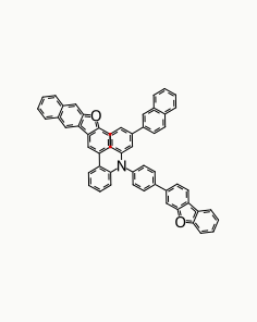 c1cc(-c2ccc3ccccc3c2)cc(N(c2ccc(-c3ccc4c(c3)oc3ccccc34)cc2)c2ccccc2-c2ccc3oc4cc5ccccc5cc4c3c2)c1